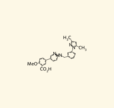 COc1ccc(-c2ccc(NCc3cccc(-n4nc(C)cc4C)c3)nc2)cc1C(=O)O